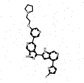 Fc1ccc(-c2cncc3[nH]c(-c4n[nH]c5cnc(-c6cncc(OCCN7CCCC7)c6)cc45)cc23)s1